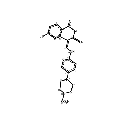 O=C1NC(=O)c2ccc(I)cc2/C1=C/Nc1ccc(N2CCN(C(=O)O)CC2)cc1